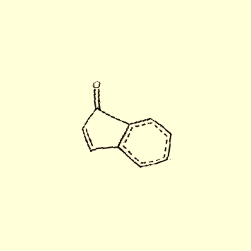 O=C1C=Cc2c[c]ccc21